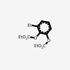 [CH2]Cc1cccc(OC(=O)OCC)c1OC(=O)OCC